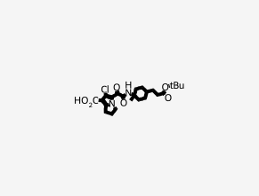 CC1(NC(=O)C(=O)c2c(Cl)c(C(=O)O)c3n2CCC3)CCC(CCC(=O)OC(C)(C)C)CC1